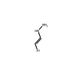 CC/C=C/NN